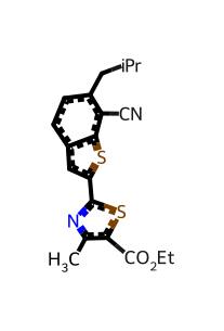 CCOC(=O)c1sc(-c2cc3ccc(CC(C)C)c(C#N)c3s2)nc1C